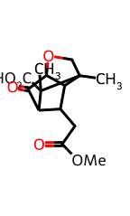 COC(=O)CC1C2C3OCC2(C)C(C)(C(=O)O)C1C3=O